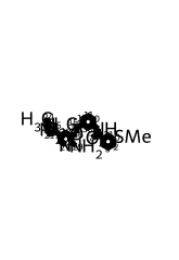 CSc1cccc(C(=O)Nc2cccc([C@@H](C)Oc3cc(-c4cnn(C)c4)cnc3N)c2)c1